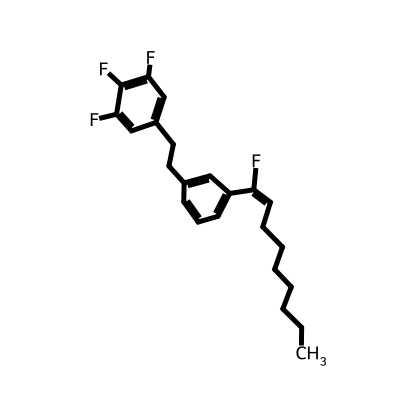 CCCCCCC/C=C(/F)c1cccc(CCc2cc(F)c(F)c(F)c2)c1